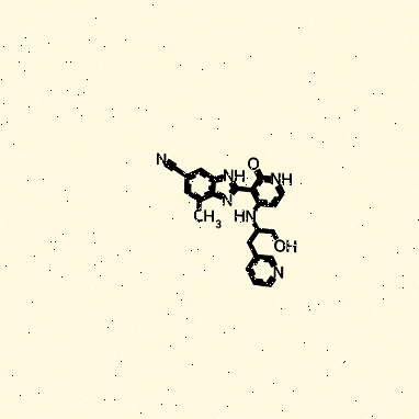 Cc1cc(C#N)cc2[nH]c(-c3c(NC(CO)Cc4cccnc4)cc[nH]c3=O)nc12